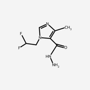 Cc1ncn(CC(F)F)c1C(=O)NN